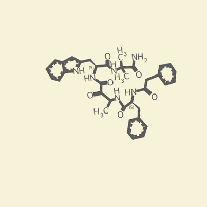 CC(NC(=O)[C@H](Cc1ccccc1)NC(=O)Cc1ccccc1)C(=O)C(=O)N[C@@H](Cc1cc2ccccc2[nH]1)C(=O)NC(C)(C)C(N)=O